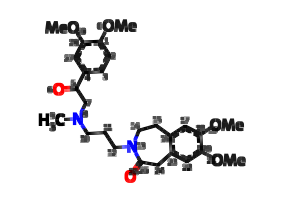 COc1ccc(C(=O)CN(C)CCCN2CCc3cc(OC)c(OC)cc3CC2=O)cc1OC